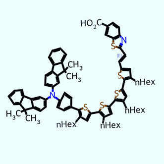 CCCCCCc1cc(-c2sc(-c3sc(-c4sc(/C=C/c5nc6ccc(C(=O)O)cc6s5)cc4CCCCCC)cc3CCCCCC)cc2CCCCCC)sc1-c1ccc(N(c2ccc3c(c2)-c2ccccc2C3(C)C)c2ccc3c(c2)C(C)(C)c2ccccc2-3)cc1